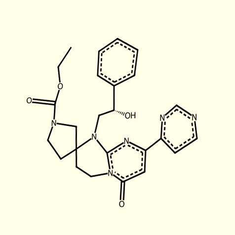 CCOC(=O)N1CCC2(CCn3c(nc(-c4ccncn4)cc3=O)N2C[C@@H](O)c2ccccc2)C1